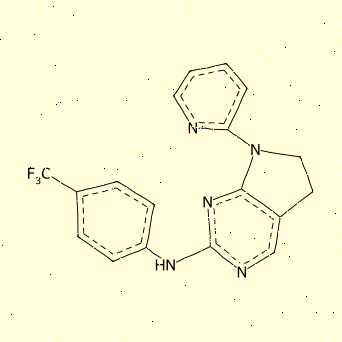 FC(F)(F)c1ccc(Nc2ncc3c(n2)N(c2ccccn2)CC3)cc1